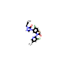 C#CCn1ncn(-c2cc3c(cc2F)sc(=O)n3-c2ncc(C(F)(F)F)cc2Cl)c1=O